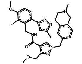 COCc1nn(Cc2ccc3c(c2)CCN(C)C3)cc1C(=O)NCc1c(-n2cc(C)nn2)ccc(OC)c1F